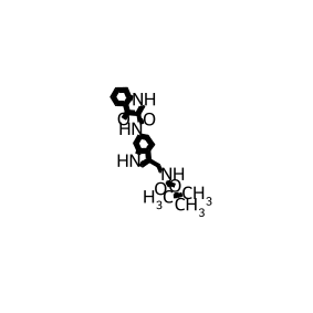 CC(C)(C)OC(=O)NCCc1c[nH]c2cc(NC(=O)c3c[nH]c4ccccc4c3=O)ccc12